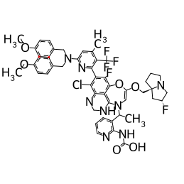 COc1ccc(CN(Cc2ccc(OC)cc2)c2cc(C)c(C(F)(F)F)c(-c3c(F)c4c5c(c3Cl)=NCNC=5N(C(C)c3cccnc3NC(=O)O)C=C(OC[C@@]35CCCN3C[C@H](F)C5)O4)n2)cc1